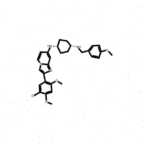 COc1ccc(CN[C@H]2CC[C@@H](Nc3ccn4cc(-c5cc(Cl)c(OC)cc5OC)nc4c3)CC2)cc1